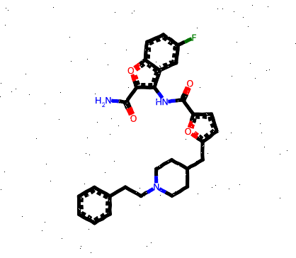 NC(=O)c1oc2ccc(F)cc2c1NC(=O)c1ccc(CC2CCN(CCc3ccccc3)CC2)o1